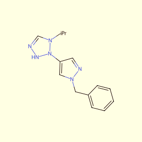 CC(C)N1C=NNN1c1cnn(Cc2ccccc2)c1